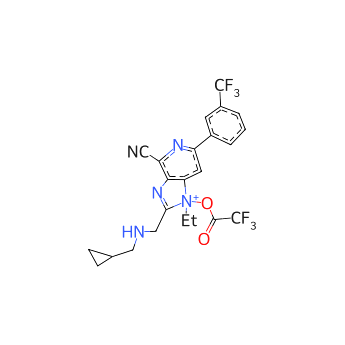 CC[N+]1(OC(=O)C(F)(F)F)C(CNCC2CC2)=Nc2c1cc(-c1cccc(C(F)(F)F)c1)nc2C#N